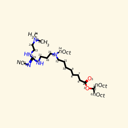 CCCCCCCCC(CCCCCCCC)OC(=O)CCCCCCCN(CCCCCCCC)CCCN/C(=N/C#N)NCCN(C)C